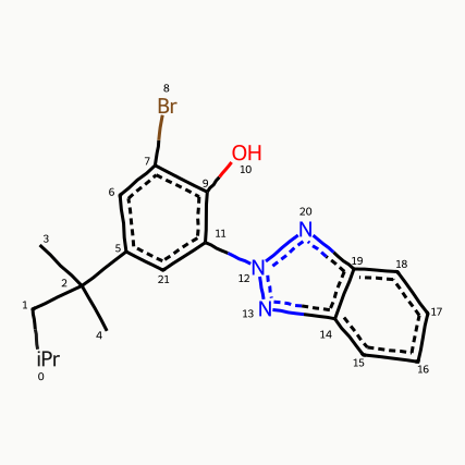 CC(C)CC(C)(C)c1cc(Br)c(O)c(-n2nc3ccccc3n2)c1